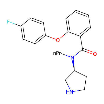 CCCN(C(=O)c1ccccc1Oc1ccc(F)cc1)[C@H]1CCNC1